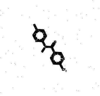 Cc1ccc(N(C)C(=O)c2ccc(C(F)(F)F)nc2)nc1